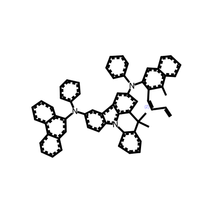 C=C/C=C\c1c(N(c2ccccc2)c2cc3c4c(c2)c2cc(N(c5ccccc5)c5cc6ccccc6c6ccccc56)ccc2n4-c2ccccc2C3(C)C)cc2ccccc2c1C